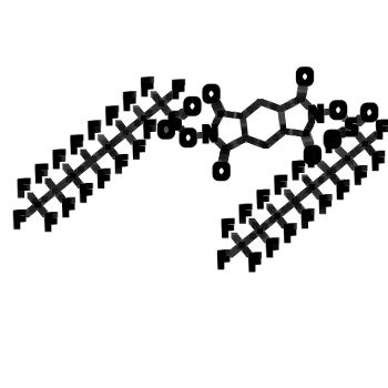 O=C1C2CC3C(=O)N(OS(=O)(=O)C(F)(F)C(F)(F)C(F)(F)C(F)(F)C(F)(F)C(F)(F)C(F)(F)C(F)(F)F)C(=O)C3CC2C(=O)N1OS(=O)(=O)C(F)(F)C(F)(F)C(F)(F)C(F)(F)C(F)(F)C(F)(F)C(F)(F)C(F)(F)F